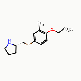 CCOC(=O)COc1ccc(SC[C@@H]2CCCN2)cc1C